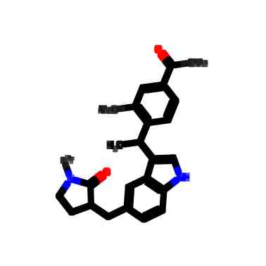 CCCN1CCC(Cc2ccc3[nH]cc(C(C)c4ccc(C(=O)OC)cc4OC)c3c2)C1=O